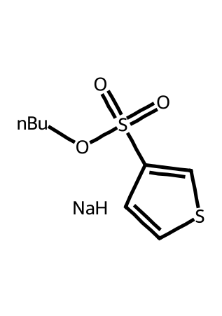 CCCCOS(=O)(=O)c1ccsc1.[NaH]